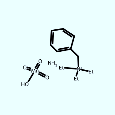 CC[N+](CC)(CC)Cc1ccccc1.N.[O]=[Mn](=[O])(=[O])[OH]